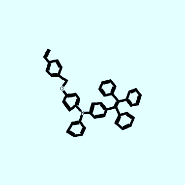 C=Cc1ccc(COc2ccc(N(c3ccccc3)c3ccc(C(=C(c4ccccc4)c4ccccc4)c4ccccc4)cc3)cc2)cc1